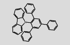 c1ccc(-c2cc(-c3ccccc3)c(-n3c4ccccc4c4ccccc43)c(-c3ccccc3)c2)cc1